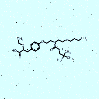 CCCCSCCN(CCOc1ccc(CC(OCC)C(=O)O)cc1)C(=O)NCC(C)(C)C